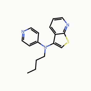 CCCCN(c1ccncc1)c1csc2ncccc12